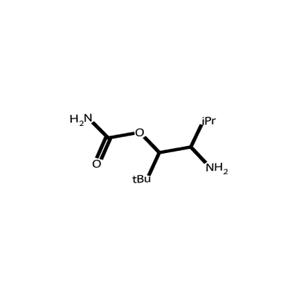 CC(C)C(N)C(OC(N)=O)C(C)(C)C